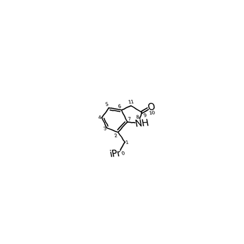 CC(C)Cc1cccc2c1NC(=O)C2